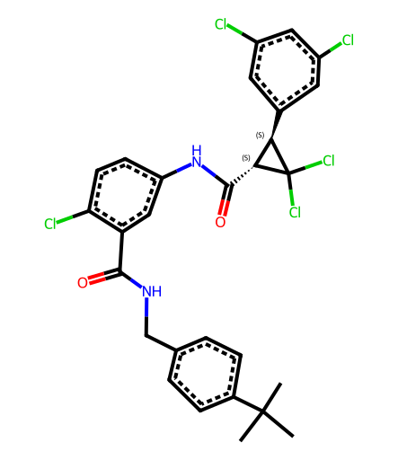 CC(C)(C)c1ccc(CNC(=O)c2cc(NC(=O)[C@@H]3[C@@H](c4cc(Cl)cc(Cl)c4)C3(Cl)Cl)ccc2Cl)cc1